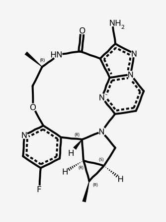 C[C@@H]1[C@@H]2CN3c4ccn5nc(N)c(c5n4)C(=O)N[C@H](C)COc4ncc(F)cc4[C@H]3[C@H]12